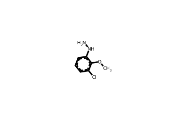 COc1c(Cl)cccc1NN